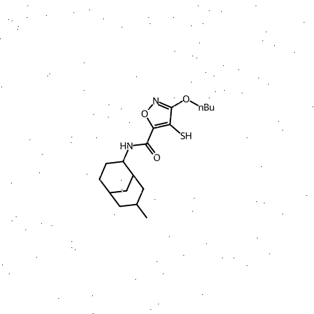 CCCCOc1noc(C(=O)NC2CCC3CC(C)CC2C3)c1S